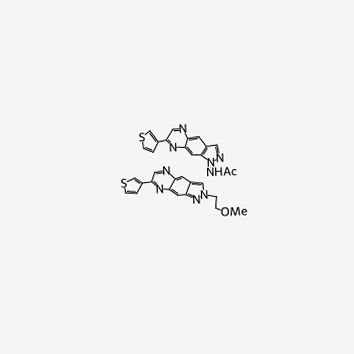 CC(=O)Nn1ncc2cc3ncc(-c4ccsc4)nc3cc21.COCCn1cc2cc3ncc(-c4ccsc4)nc3cc2n1